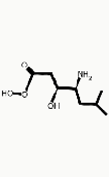 CC(C)C[C@H](N)[C@@H](O)CC(=O)OO